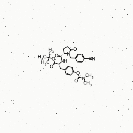 CN(C)C(=O)Oc1ccc(C[C@H](NC(=O)[C@@H]2CCC(=O)N2Cc2ccc(C#N)cc2)C(=O)OC(C)(C)C)cc1